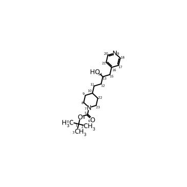 CC(C)(C)OC(=O)N1CCC(CCC(O)Cc2ccncc2)CC1